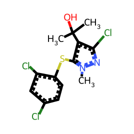 Cn1nc(Cl)c(C(C)(C)O)c1Sc1ccc(Cl)cc1Cl